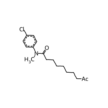 CC(=O)CCCCCCCC(=O)N(C)c1ccc(Cl)cc1